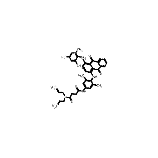 C=CCN(CC=C)C(=O)CCC(=O)Nc1cc(C)c(Nc2ccc(Nc3c(C)cc(C)cc3C)c3c2C(=O)c2ccccc2C3=O)c(C)c1